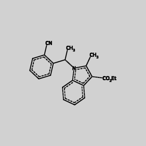 CCOC(=O)c1c(C)n(C(C)c2ccccc2C#N)c2ccccc12